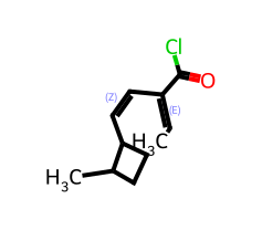 C/C=C(\C=C/C1CCC1C)C(=O)Cl